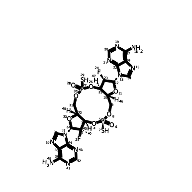 C[C@@]1(F)[C@@H]2O[P@](=O)(S)OC[C@H]3O[C@@H](n4cnc5c(N)ncnc54)[C@H](F)[C@@H]3OP(=O)(S)OC[C@H]2O[C@H]1n1cnc2c(N)ncnc21